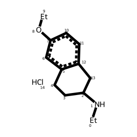 CCNC1CCc2cc(OCC)ccc2C1.Cl